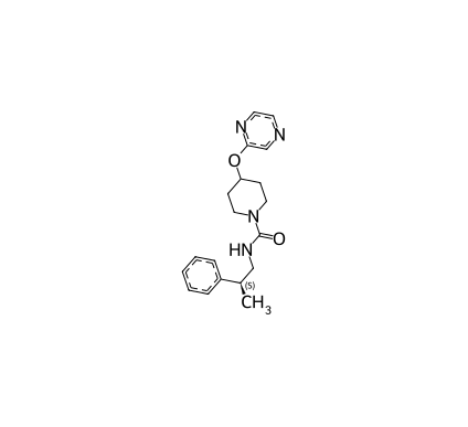 C[C@H](CNC(=O)N1CCC(Oc2cnccn2)CC1)c1ccccc1